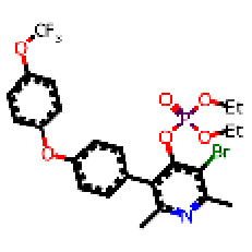 CCOP(=O)(OCC)Oc1c(Br)c(C)nc(C)c1-c1ccc(Oc2ccc(OC(F)(F)F)cc2)cc1